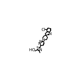 Cc1nc(-c2ccc(N3CCC(C#N)(Cc4ccccc4Cl)CC3)nn2)sc1CO